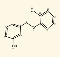 O=Cc1cccc(COc2ccccc2Cl)c1